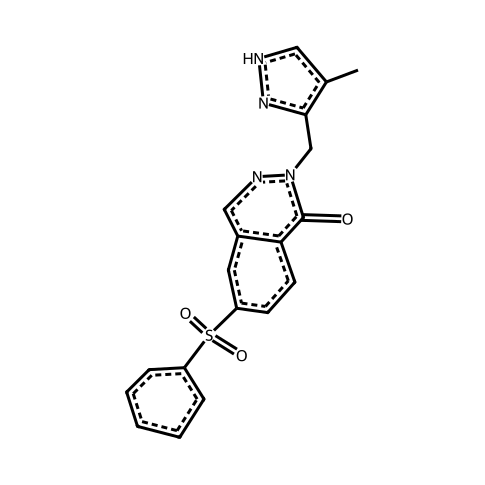 Cc1c[nH]nc1Cn1ncc2cc(S(=O)(=O)c3ccccc3)ccc2c1=O